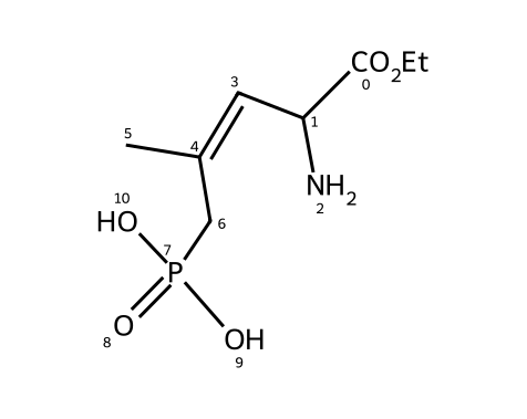 CCOC(=O)C(N)C=C(C)CP(=O)(O)O